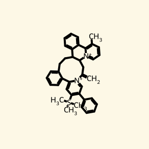 C=C1CC2C(CCc3ccccc3-c3cc(S(C)(C)C)c(-c4ccccc4)c[n+]31)c1ccccc1-c1c(C)ccc[n+]12